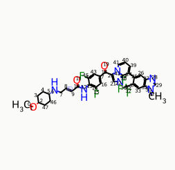 CO[C@H]1CC[C@H](NC/C=C/C(=O)Nc2c(F)cc(C(=O)c3cnc4c(-c5cc6ncn(C)c6cc5C(F)(F)F)cccn34)cc2F)CC1